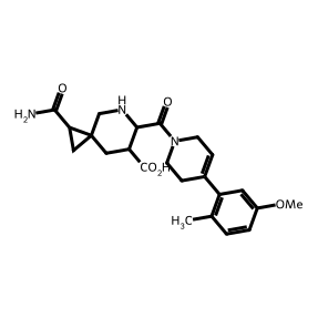 COc1ccc(C)c(C2=CCN(C(=O)C3NCC4(CC3C(=O)O)CC4C(N)=O)CC2)c1